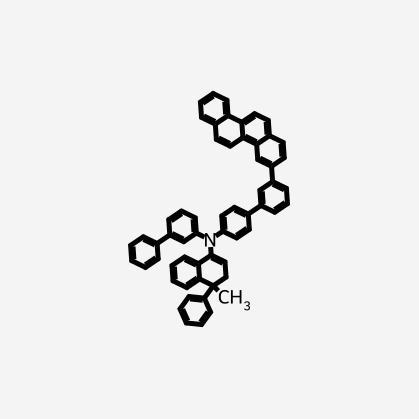 CC1(c2ccccc2)CC=C(N(c2ccc(-c3cccc(-c4ccc5ccc6c7ccccc7ccc6c5c4)c3)cc2)c2cccc(-c3ccccc3)c2)c2ccccc21